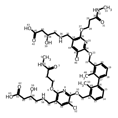 CNC(=O)CCOc1nc(OCc2cccc(-c3cccc(COc4nc(OCCC(=O)NC)c(CNC[C@@H](O)CC(=O)O)cc4Cl)c3C)c2C)c(Cl)cc1CNC[C@@H](O)CC(=O)O